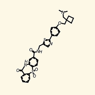 CN(C)CC1(COc2ccc(-c3ncc(CNC(=O)c4ccc5c(c4)NC(=O)c4ccccc4S5(=O)=O)s3)cc2)CCC1